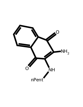 CCCCCNC1=C(N)C(=O)c2ccccc2C1=O